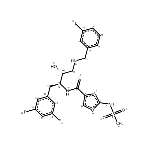 CS(=O)(=O)Nc1nc(C(=O)N[C@@H](Cc2cc(F)cc(F)c2)[C@H](O)CNCc2cccc(I)c2)co1